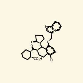 O=C(O)[C@H]1CCCC[C@H]1C(=O)N1CCc2c(Cl)ccc(OCc3nnc4ccccn34)c2C1N1CCCC1=O